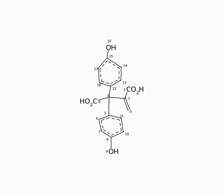 C=C(C(=O)O)C(C(=O)O)(c1ccc(O)cc1)c1ccc(O)cc1